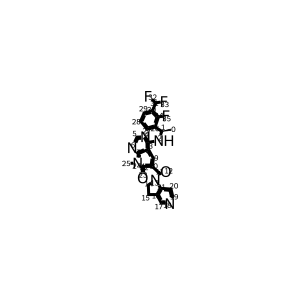 C[C@@H](Nc1ncnc2c1cc(C(=O)N1CCc3cnccc31)c(=O)n2C)c1cccc(C(F)F)c1F